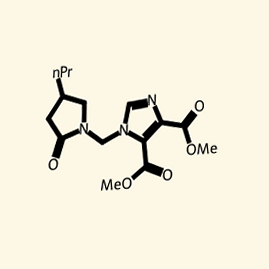 CCCC1CC(=O)N(Cn2cnc(C(=O)OC)c2C(=O)OC)C1